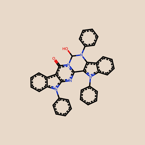 O=c1c2c3ccccc3n(-c3ccccc3)c2nc2n1C(O)N(c1ccccc1)c1c-2n(-c2ccccc2)c2ccccc12